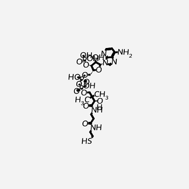 CC(C)(COP(=O)(O)OP(=O)(O)OC[C@H]1O[C@@H](n2cnc3c(N)ccnc32)C(O)[C@H]1OP(=O)(O)O)[C@@H](O)C(=O)NCCC(=O)NCCS